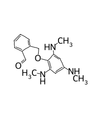 CNc1cc(NC)c(OCc2ccccc2C=O)c(NC)c1